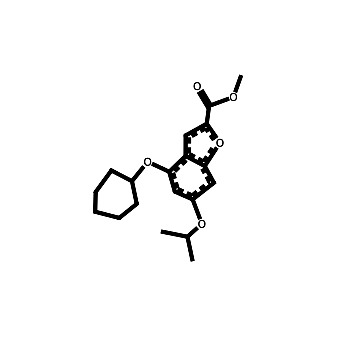 COC(=O)c1cc2c(OC3CCCCC3)cc(OC(C)C)cc2o1